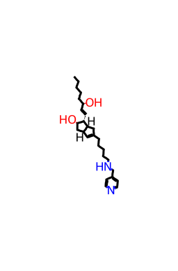 CCCCC[C@H](O)/C=C/[C@@H]1[C@H]2CC(CCCCCNCc3ccncc3)=C[C@H]2C[C@H]1O